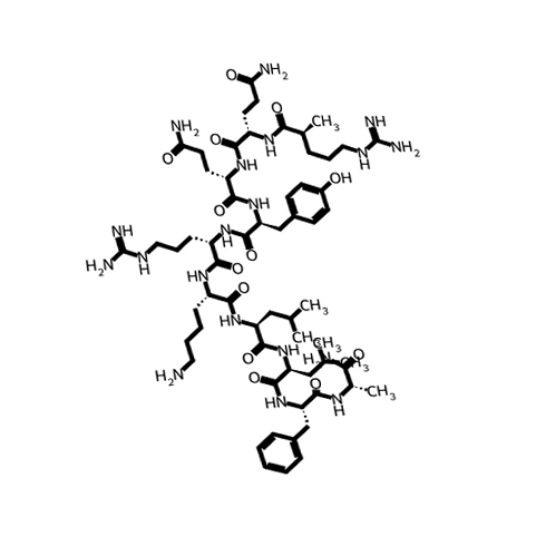 CC(C)C[C@H](NC(=O)[C@H](CC(C)C)NC(=O)[C@H](CCCCN)NC(=O)[C@H](CCCNC(=N)N)NC(=O)[C@H](Cc1ccc(O)cc1)NC(=O)[C@H](CCC(N)=O)NC(=O)[C@H](CCC(N)=O)NC(=O)[C@@H](C)CCCNC(=N)N)C(=O)N[C@@H](Cc1ccccc1)C(=O)N[C@@H](C)C(N)=O